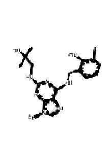 CCn1cnc2c(NCc3cccc(C)c3O)nc(NCC(C)(C)O)nc21